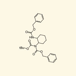 CC(C)(C)OC(=O)N(C(=O)OCc1ccccc1)C1CCCCC1NC(=O)OCc1ccccc1